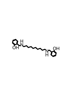 Oc1ccccc1CNCCCCCCCCCCNCc1ccccc1O